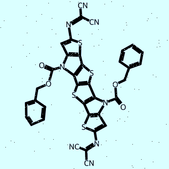 N#CC(C#N)=Nc1cc2c(s1)c1sc3c(sc4c5sc(N=C(C#N)C#N)cc5n(C(=O)OCc5ccccc5)c43)c1n2C(=O)OCc1ccccc1